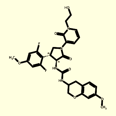 COc1cc(F)c([C@@H]2CN(c3cccn(CCO)c3=O)C(=O)[C@H]2NC(=O)NC2COc3cc(OC)ccc3C2)c(F)c1